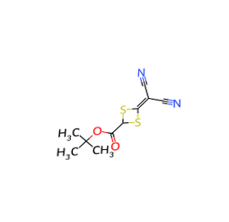 CC(C)(C)OC(=O)C1SC(=C(C#N)C#N)S1